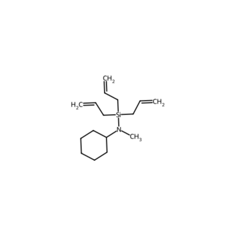 C=CC[Si](CC=C)(CC=C)N(C)C1CCCCC1